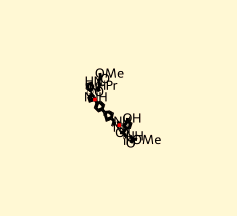 COC(=O)N[C@H](C(=O)N1CCC(O)[C@H]1c1ncc(-c2ccc(-c3ccc(-c4cnc([C@@H]5C=CCN5C(=O)[C@@H](NC(=O)OC)C(C)C)[nH]4)cc3)cc2)[nH]1)C(C)C